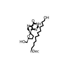 CCCCCCCCCCCCCCCCCCCCCCO.O=c1[nH]cnc2c1ncn2[C@H]1CC[C@@H](CO)O1